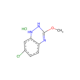 COC1=Nc2ccc(Cl)cc2NN1.Cl